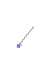 CCCCCCCCCCCCCC/C=C/[N+](C)(C)C